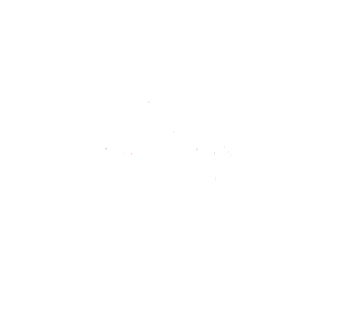 COc1ccccc1-c1ccccc1CC(C)=O